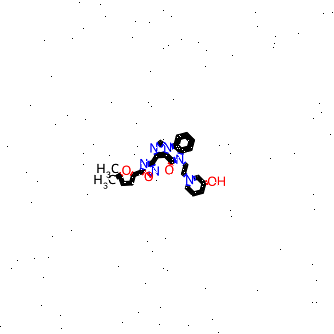 CC1(C)CCC(c2nc(-c3ncn4c3c(=O)n(CCN3CCCC(O)C3)c3ccccc34)no2)O1